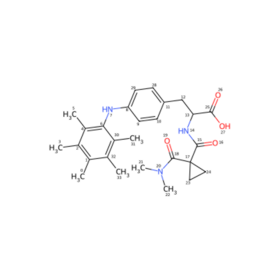 Cc1c(C)c(C)c(Nc2ccc(CC(NC(=O)C3(C(=O)N(C)C)CC3)C(=O)O)cc2)c(C)c1C